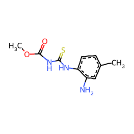 COC(=O)NC(=S)Nc1ccc(C)cc1N